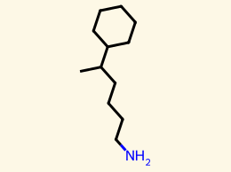 CC(CCCCN)C1CCCCC1